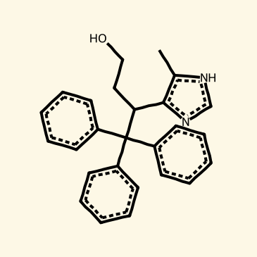 Cc1[nH]cnc1C(CCO)C(c1ccccc1)(c1ccccc1)c1ccccc1